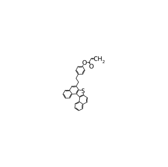 C=CC(=O)Oc1ccc(CCc2cc3ccccc3c3c2sc2ccc4ccccc4c23)cc1